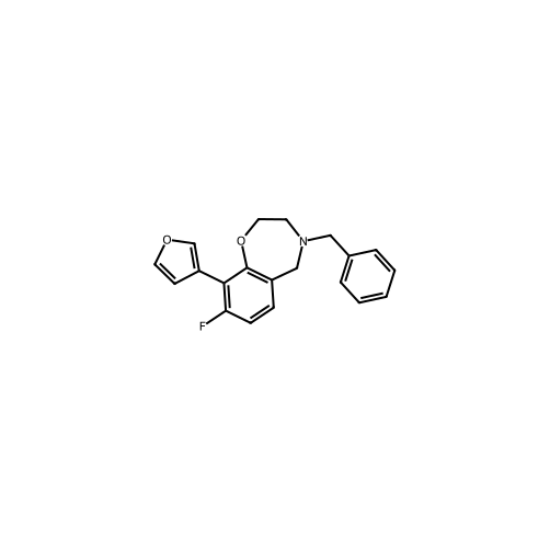 Fc1ccc2c(c1-c1ccoc1)OCCN(Cc1ccccc1)C2